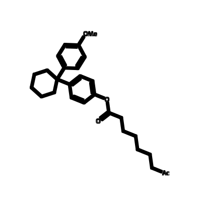 COc1ccc(C2(c3ccc(OC(=O)CCCCCCC(C)=O)cc3)CCCCC2)cc1